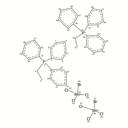 CC[P+](c1ccccc1)(c1ccccc1)c1ccccc1.CC[P+](c1ccccc1)(c1ccccc1)c1ccccc1.[Cl][Mn-]([Cl])([Cl])[Br].[Cl][Mn-]([Cl])([Cl])[Br]